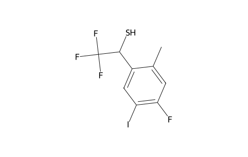 Cc1cc(F)c(I)cc1C(S)C(F)(F)F